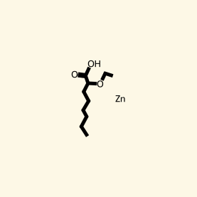 CCCCCCC(OCC)C(=O)O.[Zn]